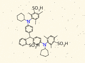 Cc1cc(C)c(S(=O)(=O)O)c(C)c1N(c1ccc(C(c2ccc(N(c3c(C)cc(C)c(S(=O)(=O)O)c3C)C3CCCCC3)cc2)c2ccccc2S(=O)(=O)O)cc1)C1CCCCC1